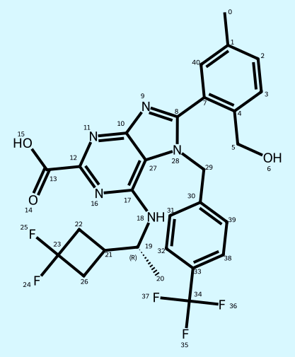 Cc1ccc(CO)c(-c2nc3nc(C(=O)O)nc(N[C@H](C)C4CC(F)(F)C4)c3n2Cc2ccc(C(F)(F)F)cc2)c1